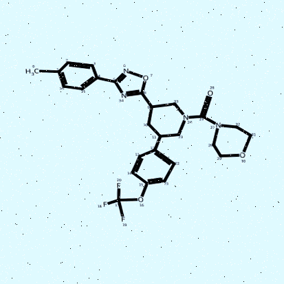 Cc1ccc(-c2noc(C3CC(c4ccc(OC(F)(F)F)cc4)CN(C(=O)N4CCOCC4)C3)n2)cc1